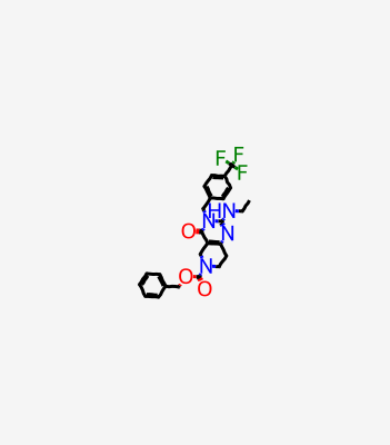 CCNc1nc2c(c(=O)n1Cc1ccc(C(F)(F)F)cc1)CN(C(=O)OCc1ccccc1)CC2